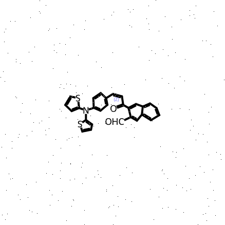 O=Cc1cc2ccccc2cc1C(=O)/C=C\c1ccc(N(c2cccs2)c2cccs2)cc1